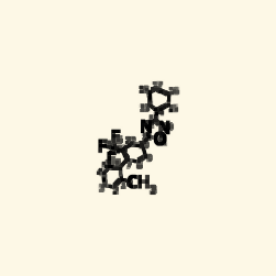 Cc1ccccc1-c1ccc(-c2nc(-c3cc[c]cc3)no2)cc1C(F)(F)F